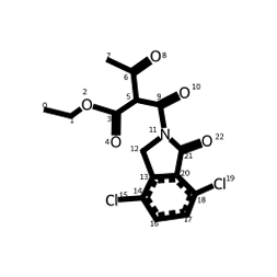 CCOC(=O)C(C(C)=O)C(=O)N1Cc2c(Cl)ccc(Cl)c2C1=O